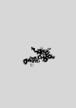 COc1ccc(C(OC[C@H]2O[C@@H](n3cnc(NC(=O)COc4ccccc4)nc3=O)C[C@H]2OP(OCCC#N)N(C(C)C)C(C)C)(c2ccccc2)c2ccc(OC)cc2)cc1